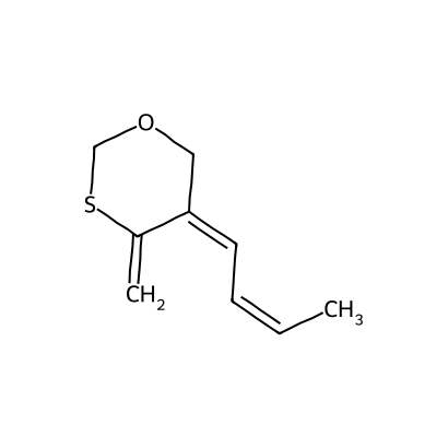 C=C1SCOC/C1=C/C=C\C